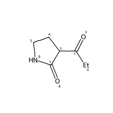 CCC(=O)C1CCNC1=O